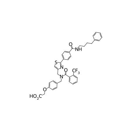 O=C(O)COc1ccc(CN(Cc2csc(-c3ccc(C(=O)NCCCCc4ccccc4)cc3)n2)C(=O)c2ccccc2C(F)(F)F)cc1